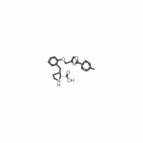 Cc1ccc(-c2nc(COc3ccccc3CC3CCN[C@H]3C(=O)O)co2)cc1